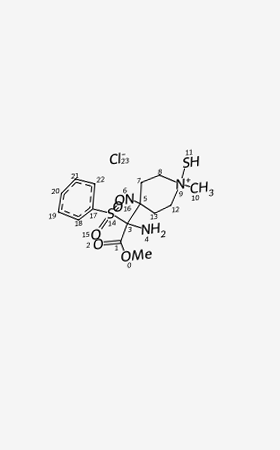 COC(=O)C(N)(C1(N=O)CC[N+](C)(S)CC1)S(=O)(=O)c1ccccc1.[Cl-]